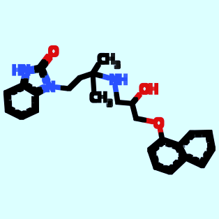 CC(C)(CCn1c(=O)[nH]c2ccccc21)NCC(O)COc1cccc2ccccc12